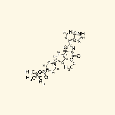 CCOC(=O)C1N=C(c2ccnc3[nH]ccc23)OC1c1ccc(N2CCN(C(=O)OC(C)(C)C)CC2)cc1